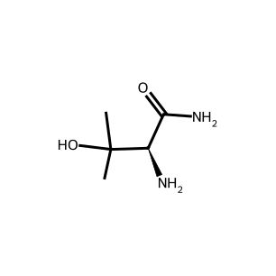 CC(C)(O)[C@H](N)C(N)=O